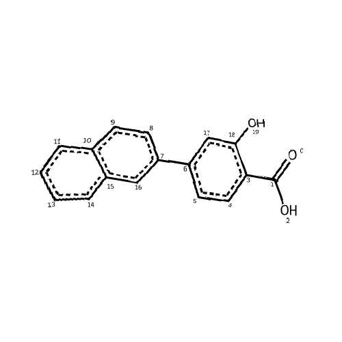 O=C(O)c1ccc(-c2ccc3ccccc3c2)cc1O